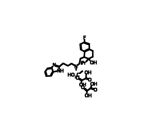 CC(=O)O.CC(C)C1(O)CCc2cc(F)ccc2C1CCN(C)CCCc1nc2ccccc2[nH]1.O=C(O)C(=O)O.O=C(O)C(=O)O